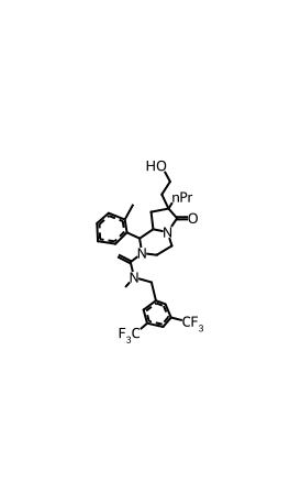 C=C(N(C)Cc1cc(C(F)(F)F)cc(C(F)(F)F)c1)N1CCN2C(=O)C(CCC)(CCO)CC2C1c1ccccc1C